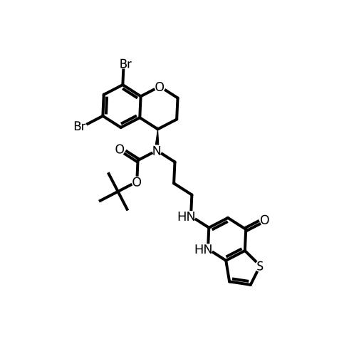 CC(C)(C)OC(=O)N(CCCNc1cc(=O)c2sccc2[nH]1)[C@@H]1CCOc2c(Br)cc(Br)cc21